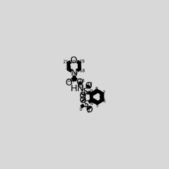 CS(=O)(=O)c1ccccc1S(=O)(=O)NOC(=O)N1CCOCC1